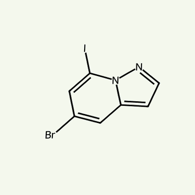 Brc1cc(I)n2nccc2c1